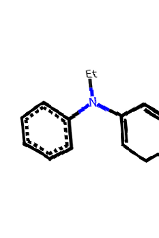 CCN(C1=CCCC=C1)c1ccccc1